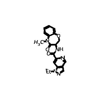 CCn1ncc2cnc(C(=O)NC3COc4ccccc4N(C)C3=O)cc21